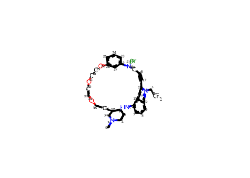 CN1CCC2Nc3cccc4c3cc(n4CC(F)(F)F)C#CCN(Br)c3cccc(c3)OCCOCCOCCC2C1